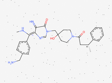 CN/C(=C1/N=CN(CC2(O)CCN(C(=O)C[C@@H](C)c3ccccc3)CC2)C(=O)C1=N)c1ccc(CN)cc1